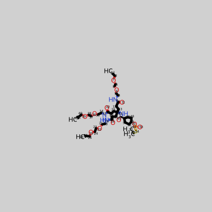 C#CCOCCOCCNC(=O)CCC(CCC(=O)NCCOCCOCC#C)(CCC(=O)NCCOCCOCC#C)NC(=O)[C@H]1CC[C@H](OP(C)(=O)SC)CC1